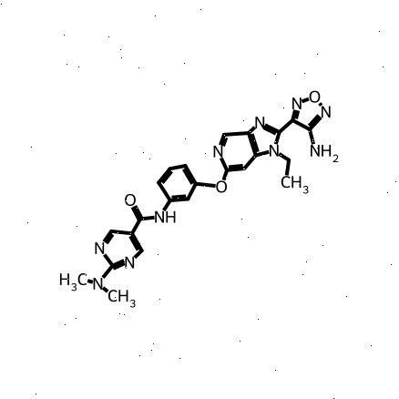 CCn1c(-c2nonc2N)nc2cnc(Oc3cccc(NC(=O)c4cnc(N(C)C)nc4)c3)cc21